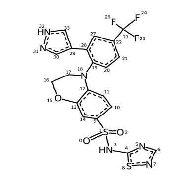 O=S(=O)(Nc1ncns1)c1ccc2c(c1)OCCN2c1ccc(C(F)(F)F)cc1-c1cn[nH]c1